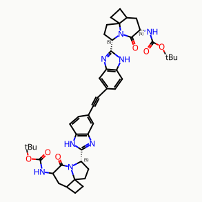 CC(C)(C)OC(=O)NC1CC2CCC23CC[C@@H](c2nc4cc(C#Cc5ccc6[nH]c([C@@H]7CCC89CCC8C[C@H](NC(=O)OC(C)(C)C)C(=O)N79)nc6c5)ccc4[nH]2)N3C1=O